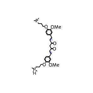 COc1cc(/C=C/C(=O)CC(=O)/C=C/c2ccc(OCCC[PH](C)(C)C)c(OC)c2)ccc1OCCCP(C)C